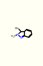 CN1N=C2C=CC=CC2C1C(C)(C)C